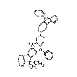 CC1CC(c2ccc3c(c2)c2ccccc2n3-c2ccccc2)=CC=C1N(c1ccccc1)c1ccc2c(c1)C(C)(C)c1ccccc1-2